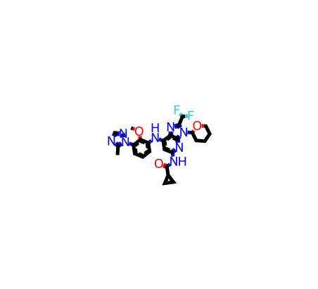 COc1c(Nc2cc(NC(=O)C3CC3)nc3c2nc(C(F)F)n3C2CCCCO2)cccc1-n1ncnc1C